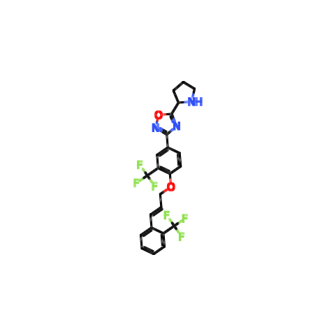 FC(F)(F)c1ccccc1/C=C/COc1ccc(-c2noc(C3CCCN3)n2)cc1C(F)(F)F